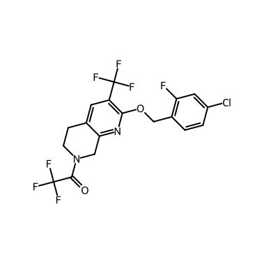 O=C(N1CCc2cc(C(F)(F)F)c(OCc3ccc(Cl)cc3F)nc2C1)C(F)(F)F